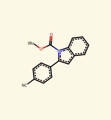 CC(C)(C)OC(=O)n1c(-c2ccc(C#N)cc2)cc2ccccc21